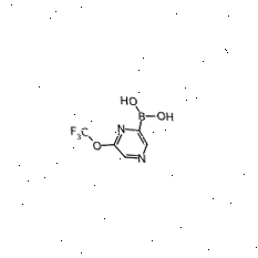 OB(O)c1cncc(OC(F)(F)F)n1